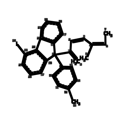 C=C(/C=C\C(C)=C/C)C1(c2ccc(C)cc2)c2ccccc2-c2c(I)cccc21